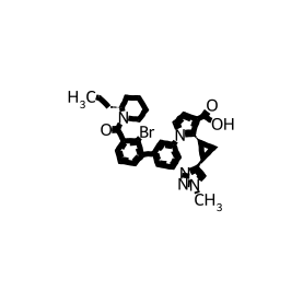 CCC[C@@H]1CCCCN1C(=O)c1cccc(-c2cccc(-n3ccc(C(=O)O)c3[C@@H]3C[C@H]3c3cn(C)nn3)c2)c1Br